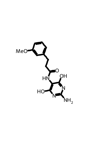 COc1cccc(CCC(=O)Nc2c(O)nc(N)nc2O)c1